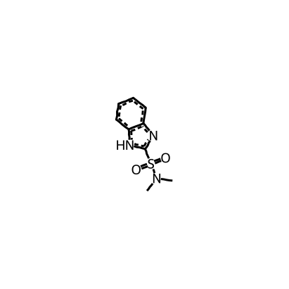 CN(C)S(=O)(=O)c1nc2ccccc2[nH]1